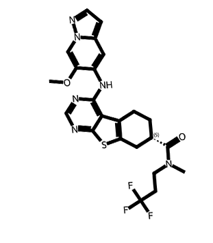 COc1cn2nccc2cc1Nc1ncnc2sc3c(c12)CC[C@H](C(=O)N(C)CCC(F)(F)F)C3